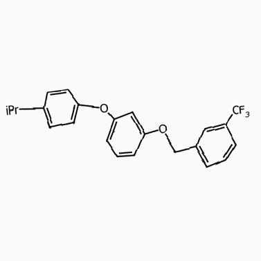 CC(C)c1ccc(Oc2cccc(OCc3cccc(C(F)(F)F)c3)c2)cc1